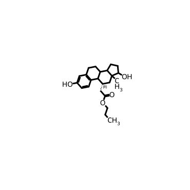 CCCOC(=O)C[C@H]1CC2(C)C(O)CCC2C2CCc3cc(O)ccc3C21